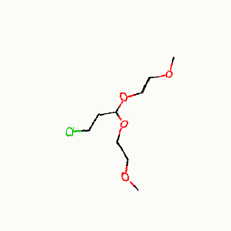 COCCOC(CCCl)OCCOC